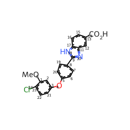 COc1cc(Oc2ccc(-c3nc4cc(C(=O)O)ccc4[nH]3)cc2)ccc1Cl